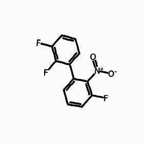 O=[N+]([O-])c1c(F)cccc1-c1cccc(F)c1F